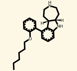 CCCCCCOc1ccccc1-c1cccc2c1[C@@H]1CCNCC[C@@H]1N2